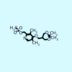 Cc1cnc(COS(C)(=O)=O)c(C)c1OCC1COC(C)(C)OC1